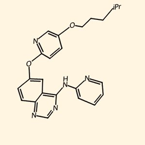 CC(C)CCCOc1ccc(Oc2ccc3ncnc(Nc4ccccn4)c3c2)nc1